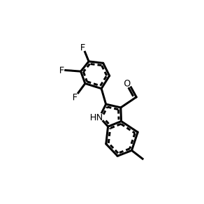 Cc1ccc2[nH]c(-c3ccc(F)c(F)c3F)c(C=O)c2c1